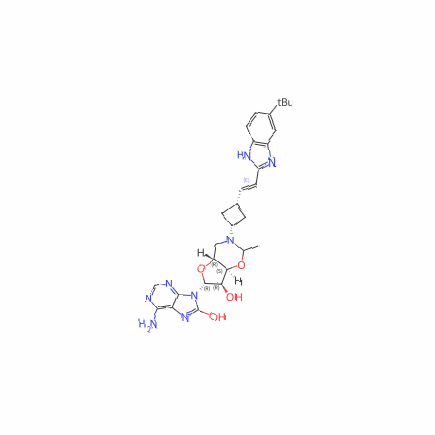 CC1O[C@H]2[C@@H](O)[C@H](n3c(O)nc4c(N)ncnc43)O[C@@H]2CN1[C@H]1C[C@@H](/C=C/c2nc3cc(C(C)(C)C)ccc3[nH]2)C1